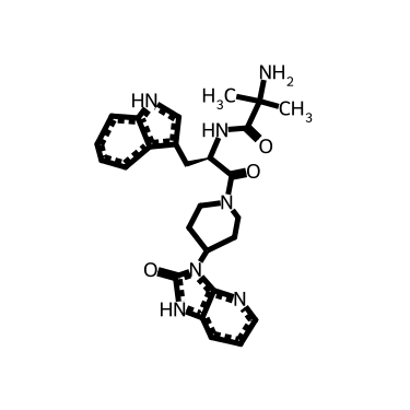 CC(C)(N)C(=O)N[C@H](Cc1c[nH]c2ccccc12)C(=O)N1CCC(n2c(=O)[nH]c3cccnc32)CC1